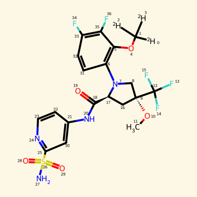 [2H]C([2H])([2H])Oc1c(N2C[C@@](OC)(C(F)(F)F)C[C@H]2C(=O)Nc2ccnc(S(N)(=O)=O)c2)ccc(F)c1F